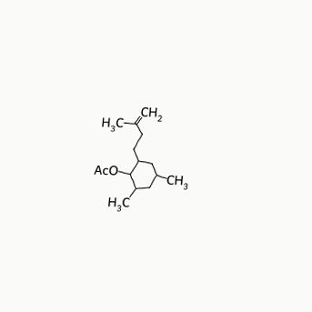 C=C(C)CCC1CC(C)CC(C)C1OC(C)=O